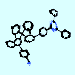 N#Cc1ccc(-c2cc3c(c4ccccc24)-c2ccccc2C32c3ccccc3-c3c(-c4ccc(-c5nc(-c6ccccc6)nc(-c6ccccc6)n5)cc4)cccc32)cc1